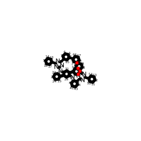 c1ccc(-c2cccc(-c3nc(-c4ccccc4)nc(-n4c5ccccc5c5cc6c(cc54)c4ccccc4n6-c4ccccc4-c4nc(-c5ccccc5)nc(-c5ccccc5)n4)n3)c2)cc1